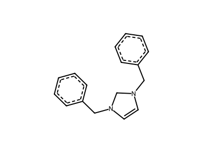 C1=CN(Cc2ccccc2)CN1Cc1ccccc1